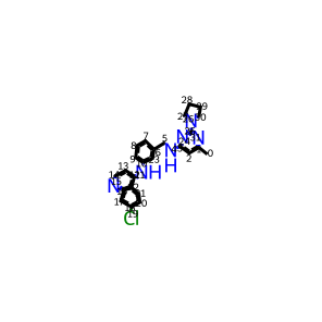 Cc1cc(NCc2cccc(Nc3ccnc4cc(Cl)ccc34)c2)nc(N2CCCC2)n1